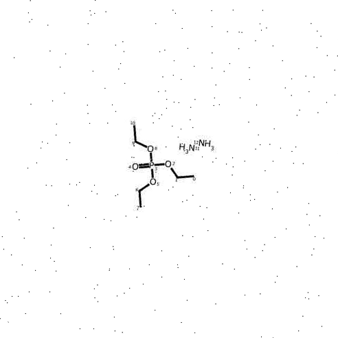 CCOP(=O)(OCC)OCC.N.N